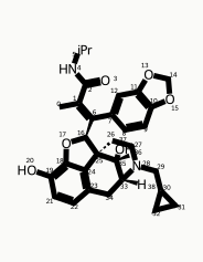 C/C(C(=O)NC(C)C)=C(/c1ccc2c(c1)OCO2)[C@@H]1Oc2c(O)ccc3c2[C@@]12CCN(CC1CC1)[C@H](C3)[C@@]2(C)O